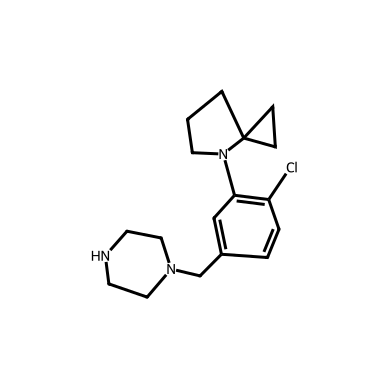 Clc1ccc(CN2CCNCC2)cc1N1CCCC12CC2